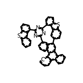 c1ccc(-c2nc(-c3cccc4sc5ccccc5c34)nc(-c3cccc4sc5ccc(-c6ccc7c8ccccc8c8ccccc8c7c6)cc5c34)n2)cc1